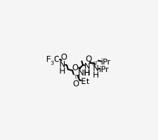 CCC(=O)[C@H](CCCCNC(=O)C(F)(F)F)NC(=O)C(C)NC(=O)[C@H](CC(C)C)NC(C)C